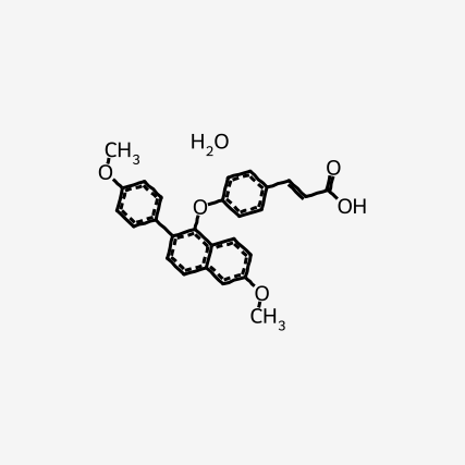 COc1ccc(-c2ccc3cc(OC)ccc3c2Oc2ccc(C=CC(=O)O)cc2)cc1.O